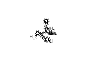 Cc1cccc2c1nc(COc1ccc(Cl)cc1)n2CCC(C)CC(N)CCN1CCCCC1.Cl.Cl.Cl